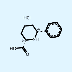 Cl.O=C(O)[C@@H]1CCC[C@H](c2ccccc2)N1